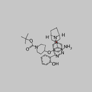 CC(C)(C)OC(=O)N1CCC(Oc2cccc(N3[C@@H]4CC[C@H]3CN(c3cc(-c5ccccc5O)nnc3N)C4)c2)CC1